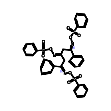 O=S(=O)(ON=C(C/C(=N\OS(=O)(=O)c1ccccc1)c1ccccc1)C/C(=N\OS(=O)(=O)c1ccccc1)c1ccccc1)c1ccccc1